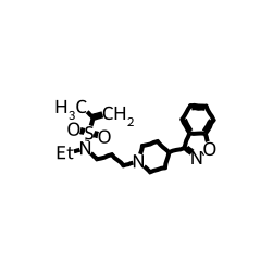 C=C(C)S(=O)(=O)N(CC)CCCN1CCC(c2noc3ccccc23)CC1